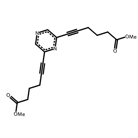 COC(=O)CCCC#Cc1cncc(C#CCCCC(=O)OC)n1